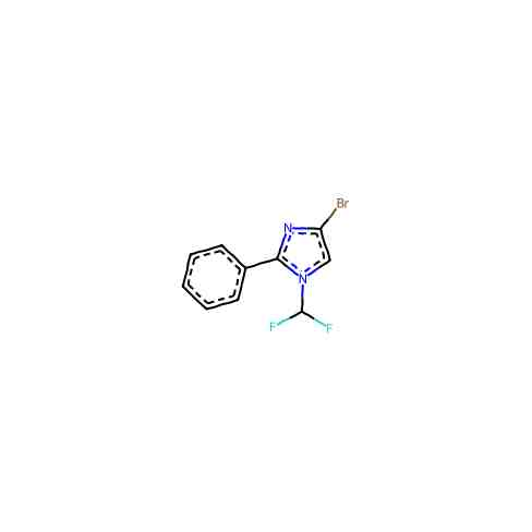 FC(F)n1cc(Br)nc1-c1ccccc1